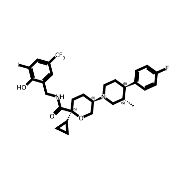 C[C@@H]1CN([C@@H]2CC[C@@](C(=O)NCc3cc(C(F)(F)F)cc(I)c3O)(C3CC3)OC2)CC[C@H]1c1ccc(F)cc1